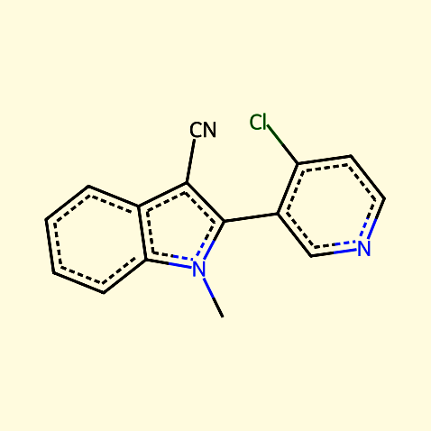 Cn1c(-c2cnccc2Cl)c(C#N)c2ccccc21